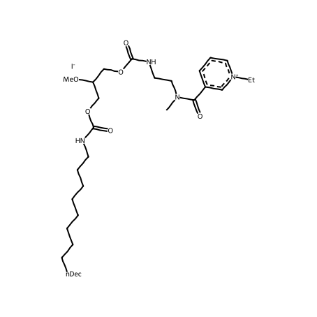 CCCCCCCCCCCCCCCCCCNC(=O)OCC(COC(=O)NCCN(C)C(=O)c1ccc[n+](CC)c1)OC.[I-]